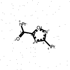 CC[CH]C(=O)c1nc(C(C)C)no1